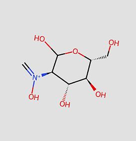 C=[N+](O)[C@H]1C(O)O[C@H](CO)[C@@H](O)[C@@H]1O